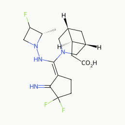 C[C@H]1C(F)CN1N/C(=C1/CCC(F)(F)C1=N)N1C[C@H]2C[C@@H](C1)[C@@H]2CC(=O)O